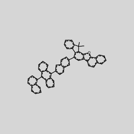 CC1(C)c2ccccc2-c2c(-c3ccc4cc(-c5c6ccccc6c(-c6cccc7ccccc67)c6ccccc56)ccc4c3)cc3c(oc4c5ccccc5ccc34)c21